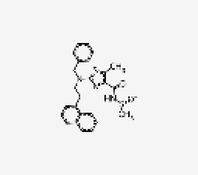 Cc1sc(N(CCc2cccc3ccccc23)Cc2ccccc2)nc1C(=O)N[S+](C)[O-]